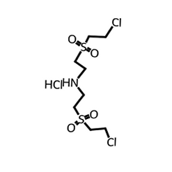 Cl.O=S(=O)(CCCl)CCNCCS(=O)(=O)CCCl